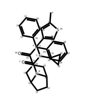 Cc1cc(CN(C(=O)N2C3CCC2CN(C(=O)N(c2ccccc2)c2ccccc2)C3)C2CC2)cs1